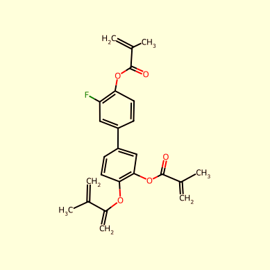 C=C(C)C(=C)Oc1ccc(-c2ccc(OC(=O)C(=C)C)c(F)c2)cc1OC(=O)C(=C)C